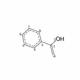 [CH]=C(O)c1ccccc1